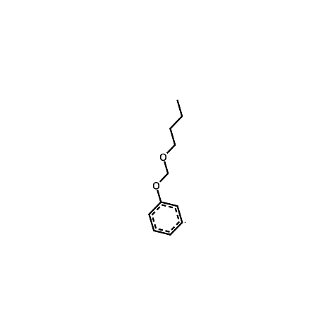 CCCCOCOc1c[c]ccc1